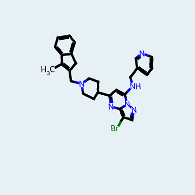 CC1=C(CN2CCC(c3cc(NCc4cccnc4)n4ncc(Br)c4n3)CC2)Cc2ccccc21